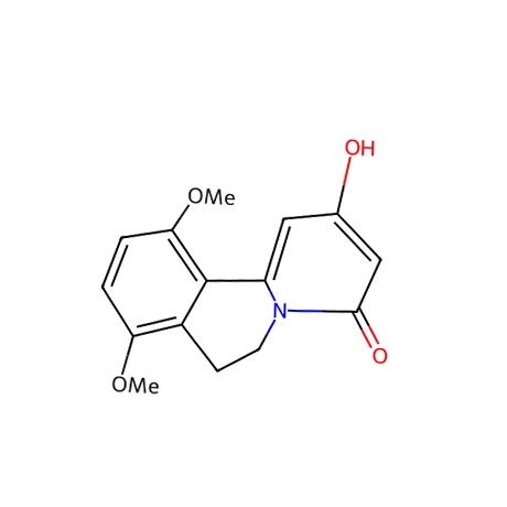 COc1ccc(OC)c2c1CCn1c-2cc(O)cc1=O